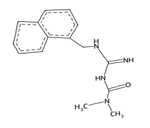 CN(C)C(=O)NC(=N)NCc1cccc2ccccc12